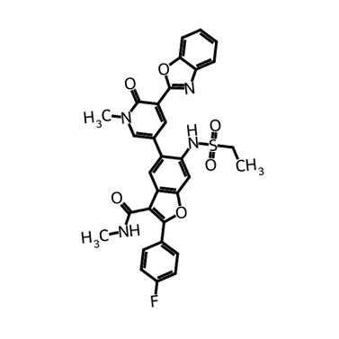 CCS(=O)(=O)Nc1cc2oc(-c3ccc(F)cc3)c(C(=O)NC)c2cc1-c1cc(-c2nc3ccccc3o2)c(=O)n(C)c1